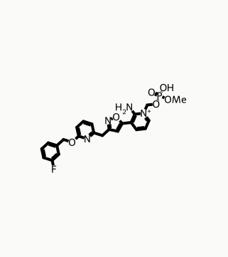 COP(=O)(O)OC[n+]1cccc(-c2cc(Cc3cccc(OCc4cccc(F)c4)n3)no2)c1N